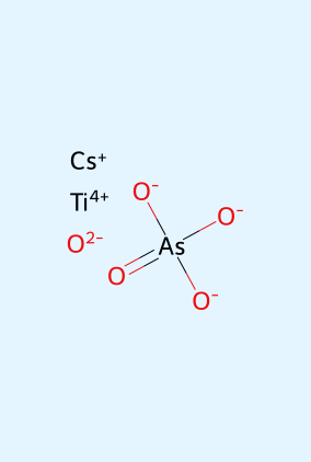 O=[As]([O-])([O-])[O-].[Cs+].[O-2].[Ti+4]